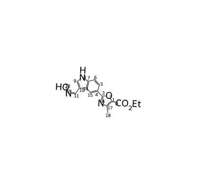 CCOC(=O)c1oc(-c2ccc3[nH]cc(/C=N\O)c3c2)nc1C